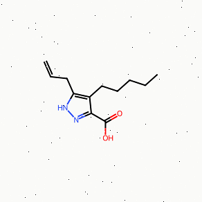 C=CCc1[nH]nc(C(=O)O)c1CCCCC